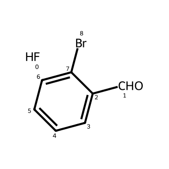 F.O=Cc1ccccc1Br